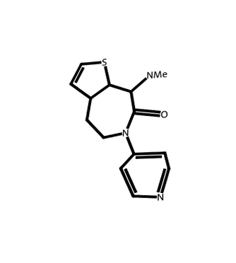 CNC1C(=O)N(c2ccncc2)CCC2C=CSC21